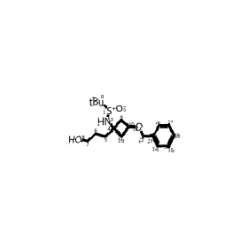 CC(C)(C)[S+]([O-])NC1(CCCO)CC(OCc2ccccc2)C1